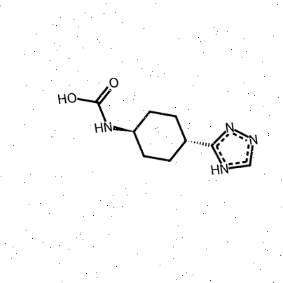 O=C(O)N[C@H]1CC[C@H](c2nnc[nH]2)CC1